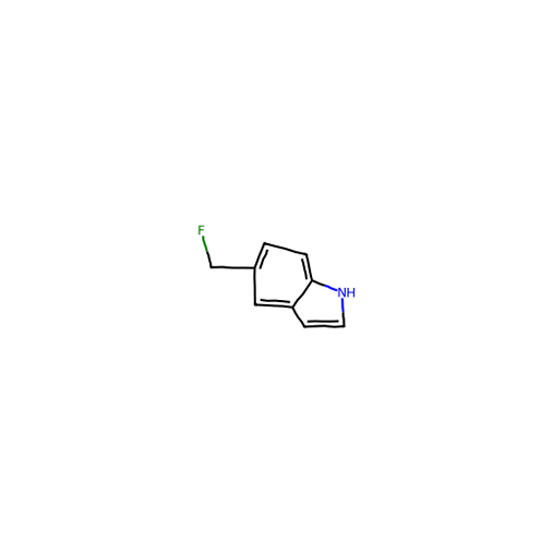 FCc1ccc2[nH]ccc2c1